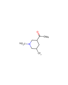 COC(=O)C1CC(C(F)(F)F)CN(C(=O)O)C1